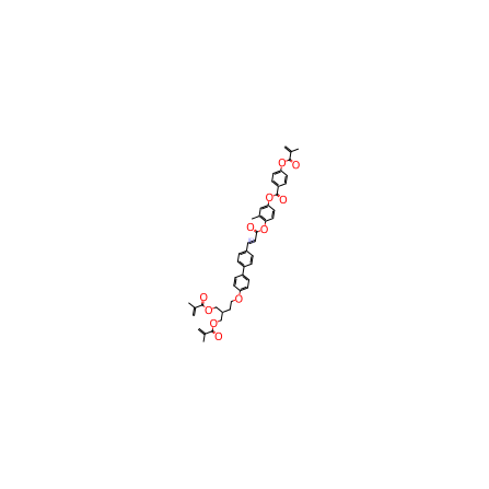 C=C(C)C(=O)OCC(CCOc1ccc(-c2ccc(/C=C/C(=O)Oc3ccc(OC(=O)c4ccc(OC(=O)C(=C)C)cc4)cc3C)cc2)cc1)COC(=O)C(=C)C